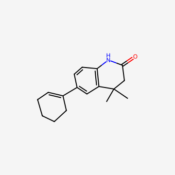 CC1(C)CC(=O)Nc2ccc(C3=CCCCC3)cc21